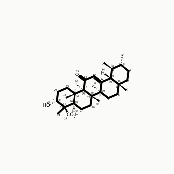 C[C@H]1[C@H](C)CC[C@]2(C)CC[C@]3(C)C(=CC(=O)[C@@H]4[C@@]5(C)CC[C@@H](O)[C@](C)(C(=O)O)[C@@H]5CC[C@]43C)[C@H]12